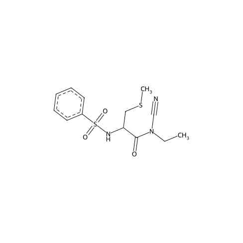 CCN(C#N)C(=O)C(CSC)NS(=O)(=O)c1ccccc1